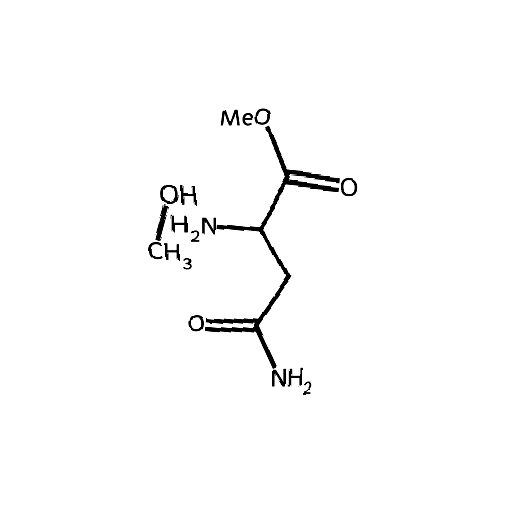 CO.COC(=O)C(N)CC(N)=O